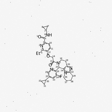 CCc1nc(C(=O)NC2CC2)ccc1OCC(=O)N1CCc2nc3n(c2C1c1ncc(C2CC2)cc1F)CCCC3